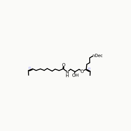 C/C=C\CCCCCCCC(=O)NCC(O)CO/C(=C\C)CCCCCCCCCCCCC